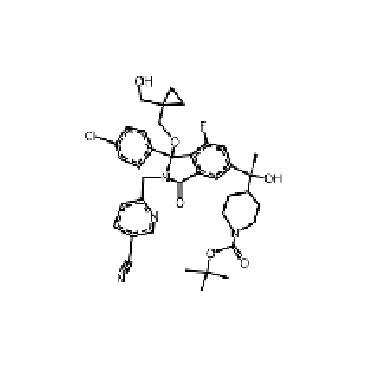 CC(C)(C)OC(=O)N1CCC([C@@](C)(O)c2cc(F)c3c(c2)C(=O)N(Cc2ccc(C#N)cn2)C3(OCC2(CO)CC2)c2ccc(Cl)cc2)CC1